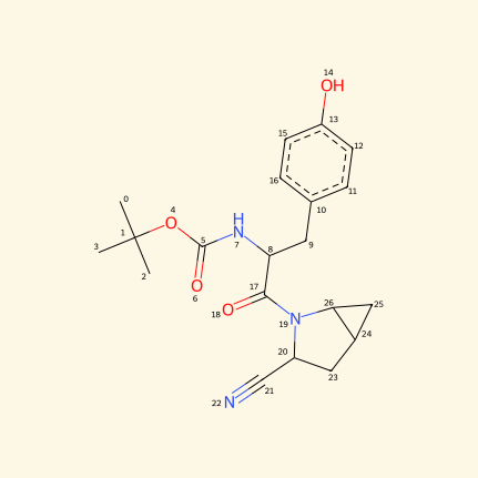 CC(C)(C)OC(=O)NC(Cc1ccc(O)cc1)C(=O)N1C(C#N)CC2CC21